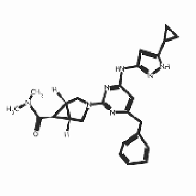 CN(C)C(=O)[C@H]1[C@@H]2CN(c3nc(Cc4ccccc4)cc(Nc4cc(C5CC5)[nH]n4)n3)C[C@@H]21